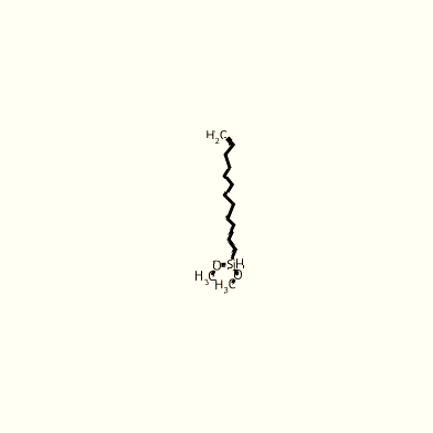 C=CCCCCCCCCCC[SiH](OC)OC